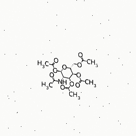 CC(=O)N[C@@H]1[C@@H](OC(C)=O)O[C@H](COC(C)=O)[C@@H](OC(C)=O)[C@H]1OC(C)=O